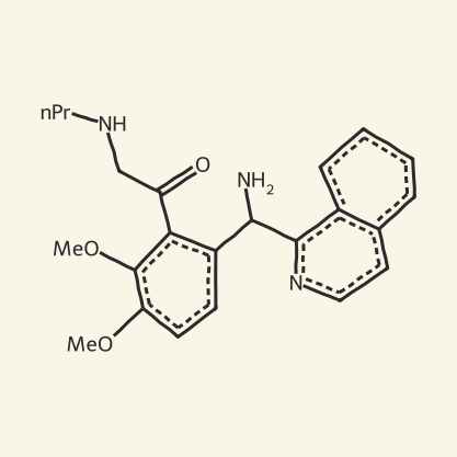 CCCNCC(=O)c1c(C(N)c2nccc3ccccc23)ccc(OC)c1OC